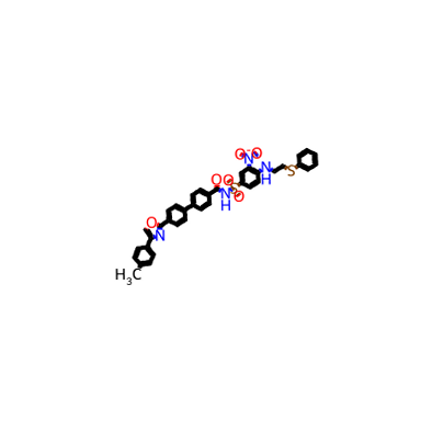 Cc1ccc(-c2coc(-c3ccc(-c4ccc(C(=O)NS(=O)(=O)c5ccc(NCCSc6ccccc6)c([N+](=O)[O-])c5)cc4)cc3)n2)cc1